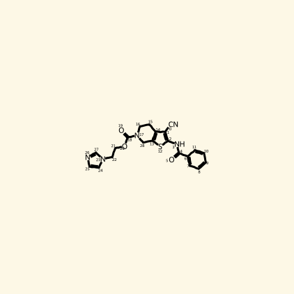 N#Cc1c(NC(=O)c2ccccc2)sc2c1CCN(C(=O)OCCn1ccnc1)C2